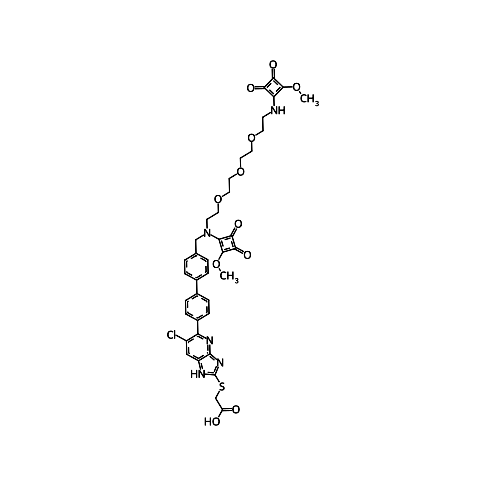 COc1c(NCCOCCOCCOCCN(Cc2ccc(-c3ccc(-c4nc5nc(SCC(=O)O)[nH]c5cc4Cl)cc3)cc2)c2c(OC)c(=O)c2=O)c(=O)c1=O